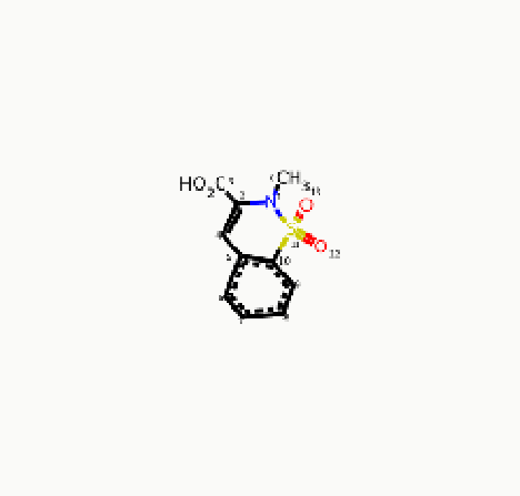 CN1C(C(=O)O)=Cc2ccccc2S1(=O)=O